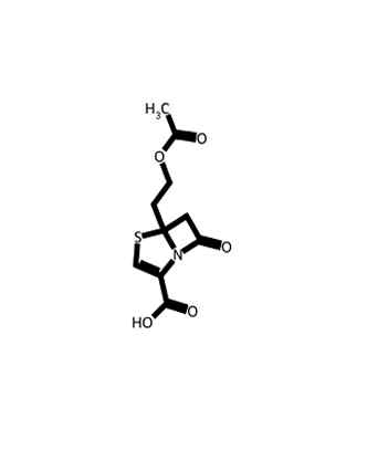 CC(=O)OCCC12CC(=O)N1C(C(=O)O)=CS2